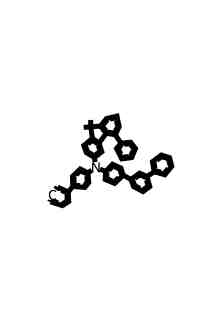 CC1(C)c2ccc(N(c3ccc(-c4ccccc4)cc3)c3ccc(-c4cccc(-c5ccccc5)c4)cc3)cc2-c2c(-c3ccccc3)cccc21